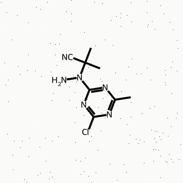 Cc1nc(Cl)nc(N(N)C(C)(C)C#N)n1